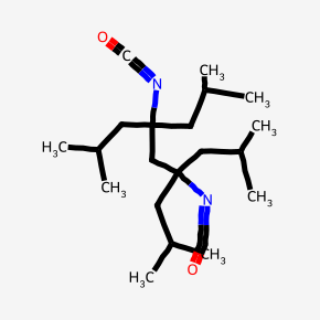 CC(C)CC(CC(C)C)(CC(CC(C)C)(CC(C)C)N=C=O)N=C=O